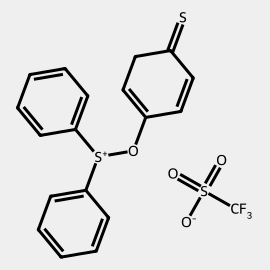 O=S(=O)([O-])C(F)(F)F.S=C1C=CC(O[S+](c2ccccc2)c2ccccc2)=CC1